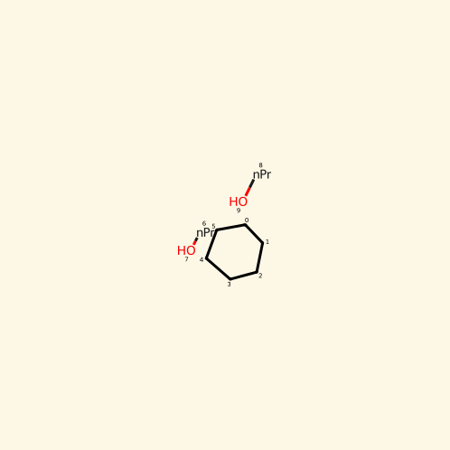 C1CCCCC1.CCCO.CCCO